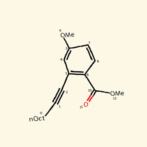 CCCCCCCCC#Cc1cc(OC)ccc1C(=O)OC